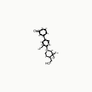 OCC1CCN(c2ncc(-c3cccc(Cl)c3)cc2F)CC1(F)F